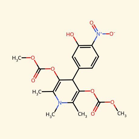 COC(=O)OC1=C(C)N(C)C(C)=C(OC(=O)OC)C1c1ccc([N+](=O)[O-])c(O)c1